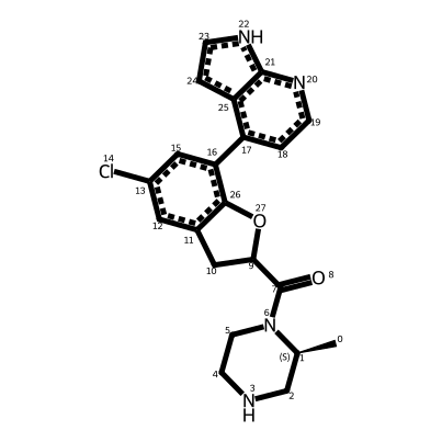 C[C@H]1CNCCN1C(=O)C1Cc2cc(Cl)cc(-c3ccnc4[nH]ccc34)c2O1